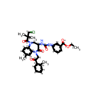 CCOC(=O)c1cccc(NC(=O)NC2CN(C(=O)C(C)(C)CCl)c3ccc(C)cc3N(CC(=O)c3ccccc3C)C2=O)c1